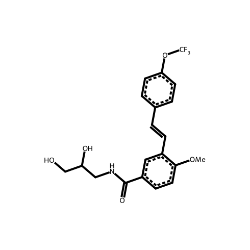 COc1ccc(C(=O)NCC(O)CO)cc1C=Cc1ccc(OC(F)(F)F)cc1